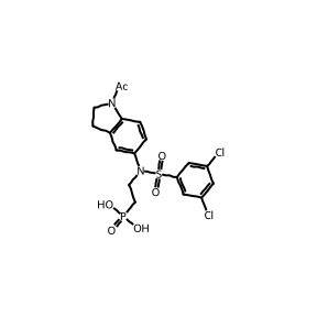 CC(=O)N1CCc2cc(N(CCP(=O)(O)O)S(=O)(=O)c3cc(Cl)cc(Cl)c3)ccc21